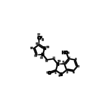 O=c1sc2cccc(O)c2n1CCn1ccc(C(F)(F)F)n1